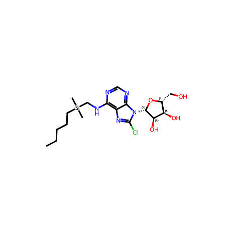 CCCCC[Si](C)(C)CNc1ncnc2c1nc(Cl)n2[C@@H]1O[C@H](CO)[C@@H](O)[C@H]1O